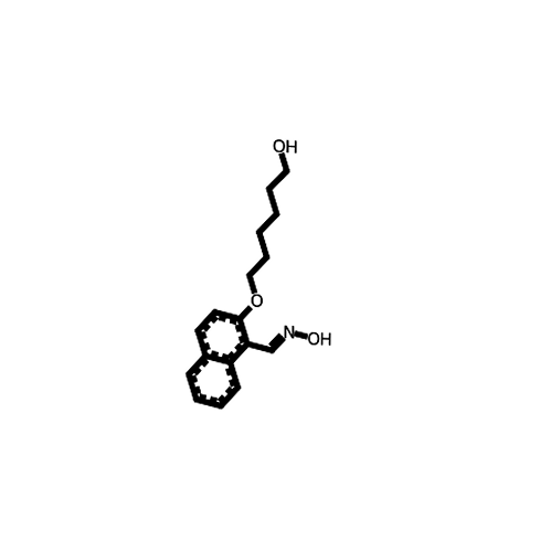 OCCCCCCOc1ccc2ccccc2c1/C=N/O